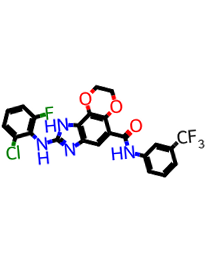 O=C(Nc1cccc(C(F)(F)F)c1)c1cc2nc(Nc3c(F)cccc3Cl)[nH]c2c2c1OCCO2